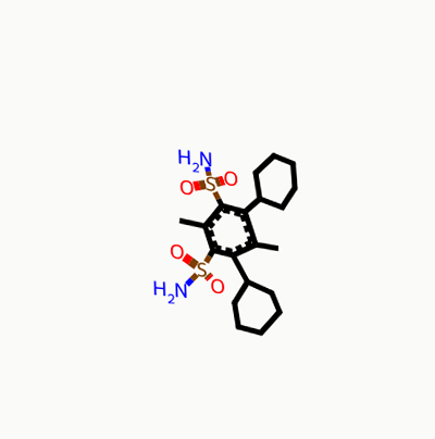 Cc1c(C2CCCCC2)c(S(N)(=O)=O)c(C)c(S(N)(=O)=O)c1C1CCCCC1